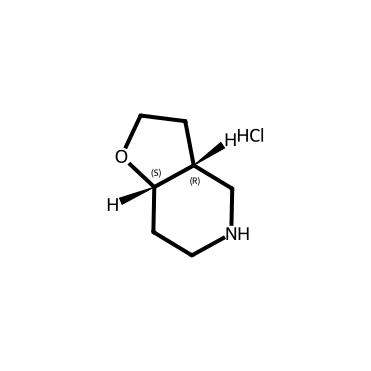 C1C[C@@H]2OCC[C@@H]2CN1.Cl